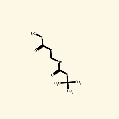 COC(=O)[CH]CNC(=O)OC(C)(C)C